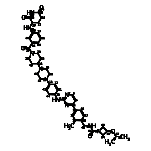 Cc1cc(-c2ccnc(Nc3ccc(N4CCN(C5CCN(C(=O)c6cccc(NC7CCC(=O)NC7=O)c6)CC5)CC4)cc3)n2)ccc1CNC(=O)N1CC(OC(C)C)C1